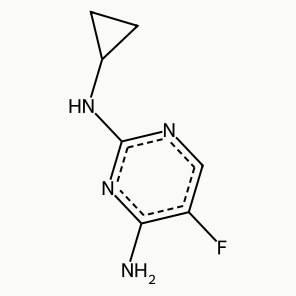 Nc1nc(NC2CC2)ncc1F